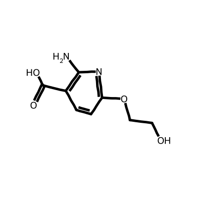 Nc1nc(OCCO)ccc1C(=O)O